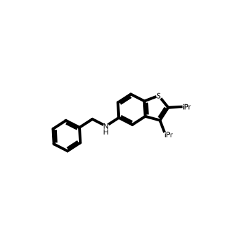 CC(C)c1sc2ccc(NCc3ccccc3)cc2c1C(C)C